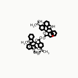 CN(C)c1ccc(C2(c3c(-c4ccccc4)[nH]c4ccccc34)OC(=O)c3ccccc32)cc1.Cc1c(C2(c3c(C)n(C)c4ccccc34)OC(=O)c3ccc(N(C)C)cc32)c2ccccc2n1C